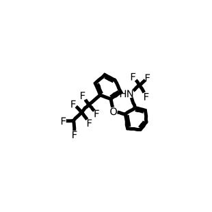 FC(F)C(F)(F)C(F)(F)c1ccccc1Oc1ccccc1NC(F)(F)F